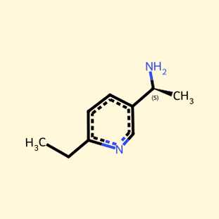 CCc1ccc([C@H](C)N)cn1